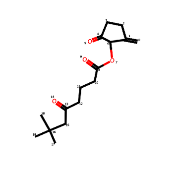 C=C1CCC(=O)C1OC(=O)CCCC(=O)CC(C)(C)C